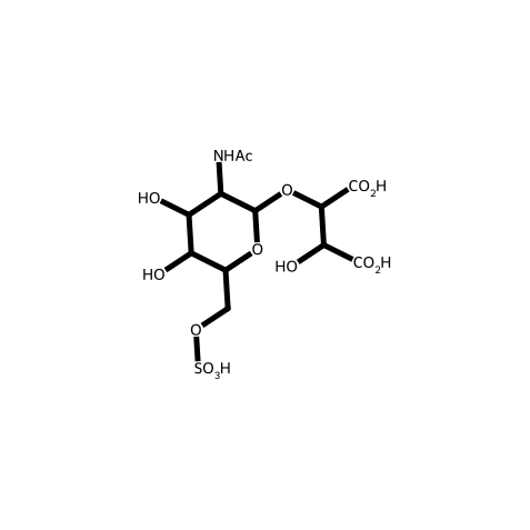 CC(=O)NC1C(OC(C(=O)O)C(O)C(=O)O)OC(COS(=O)(=O)O)C(O)C1O